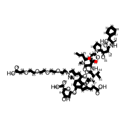 CC[C@H](C)[C@@H]([C@@H](CC(=O)N1CCC[C@H]1[C@H](OC)[C@@H](C)C(=O)N[C@H](C)[C@@H](O)c1ccccc1)OC)N(C)C(=O)[C@@H](NC(=O)[C@H](C(C)C)N(C)C(=O)OC(Cc1cn(CCOCCOCCOCCOCCC(=O)O)nn1)c1ccc(O[C@H]2C[C@@H](O)C[C@@H](C(=O)O)O2)c2cc(CCC(=O)O)sc12)C(C)C